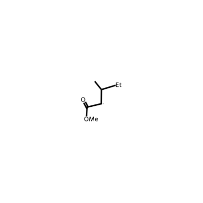 CCC(C)[CH]C(=O)OC